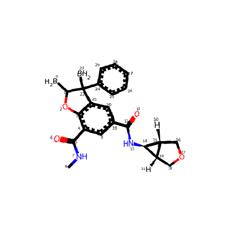 BC1Oc2c(C(=O)NC)cc(C(=O)N[C@H]3[C@@H]4COC[C@@H]43)cc2C1(B)c1ccccc1